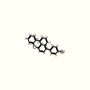 Brc1ccc(-c2ccc3c4c(cccc24)-c2ccccc2O3)cc1